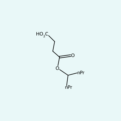 CCCC(CCC)OC(=O)CCC(=O)O